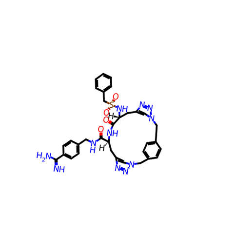 N=C(N)c1ccc(CNC(=O)[C@@H]2Cc3cn(nn3)Cc3ccc(cc3)Cn3cc(nn3)C[C@@H](NS(=O)(=O)Cc3ccccc3)C(=O)N2)cc1